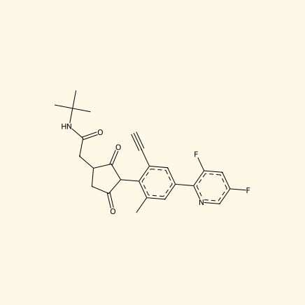 C#Cc1cc(-c2ncc(F)cc2F)cc(C)c1C1C(=O)CC(CC(=O)NC(C)(C)C)C1=O